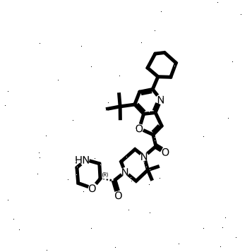 CC(C)(C)c1cc(C2CCCCC2)nc2cc(C(=O)N3CCN(C(=O)[C@H]4CNCCO4)CC3(C)C)oc12